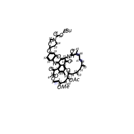 CO[C@H]1/C=C/O[C@@]2(C)Oc3c(C)c4c5c(=O)c(c6oc7cc(OC8CCN(C(=O)OC(C)(C)C)CC8)ccc7nc-6c5c3C2=O)NC(=O)/C(C)=C\C=C\C(C)C[C@@H](C)CC(O4)C(OC(C)=O)[C@@H]1C